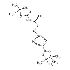 C[C@@H](COc1ccc(B2OC(C)(C)C(C)(C)O2)cn1)NC(=O)OC(C)(C)C